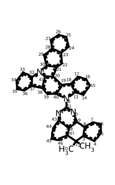 CC1(C)c2ccccc2-c2nc(-n3c4ccccc4c4c5c6cc7ccccc7cc6n6c7ccccc7c(cc43)c56)nc3cccc1c23